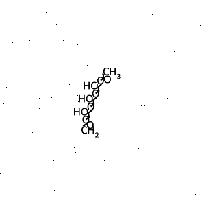 C=CC(=O)OCC(O)COCC(O)COCC(O)COC(=O)CC